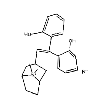 C[N+]1(C)C2CCC1CC(C=C(c1ccccc1O)c1ccccc1O)C2.[Br-]